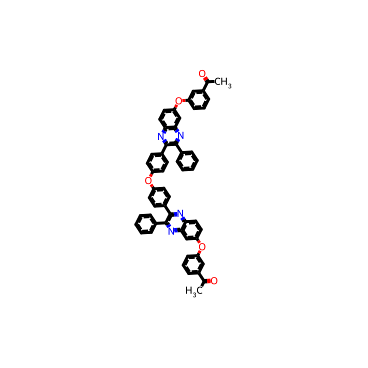 CC(=O)c1cccc(Oc2ccc3nc(-c4ccc(Oc5ccc(-c6nc7ccc(Oc8cccc(C(C)=O)c8)cc7nc6-c6ccccc6)cc5)cc4)c(-c4ccccc4)nc3c2)c1